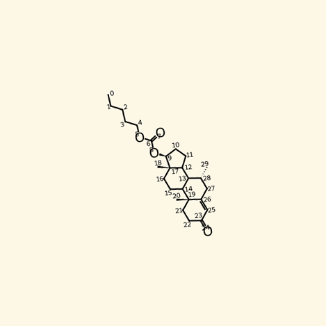 CCCCCOC(=O)O[C@H]1CCC2C3C(CC[C@@]21C)[C@@]1(C)CCC(=O)C=C1C[C@H]3C